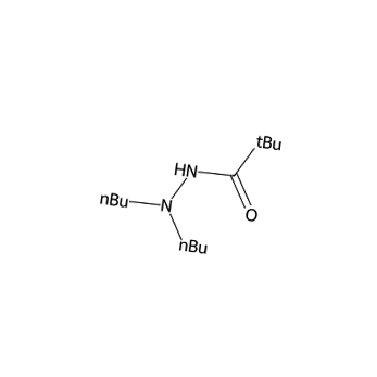 CCCCN(CCCC)NC(=O)C(C)(C)C